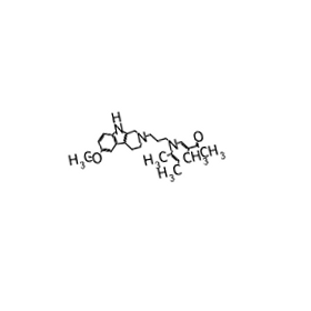 C/C=C(\C)N(/C=C(\C)C(C)=O)CCCN1CCc2c([nH]c3ccc(OC)cc23)C1